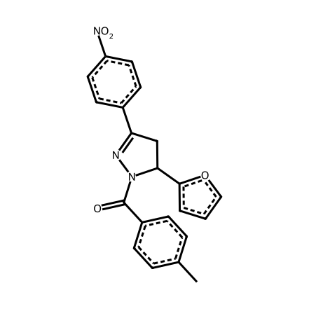 Cc1ccc(C(=O)N2N=C(c3ccc([N+](=O)[O-])cc3)CC2c2ccco2)cc1